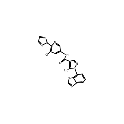 O=C(Nc1cnc(-n2nccn2)c(Cl)c1)c1cnn(-c2cccc3ncsc23)c1C(F)(F)F